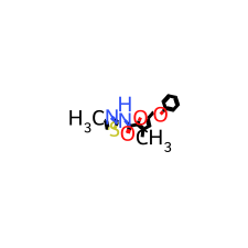 Cc1csc(NC(=O)c2oc(COc3ccccc3)cc2C)n1